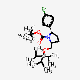 CC(C)[Si](OC[C@@H]1CC[C@@H](c2ccc(Br)cc2)N1C(=O)OC(C)(C)C)(C(C)C)C(C)C